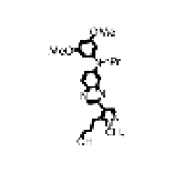 CCCN(c1cc(OC)cc(OC)c1)c1ccc2ncc(-c3cnn(C)c3CCCO)nc2c1